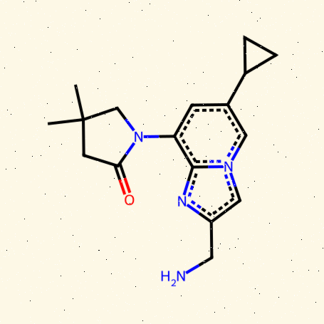 CC1(C)CC(=O)N(c2cc(C3CC3)cn3cc(CN)nc23)C1